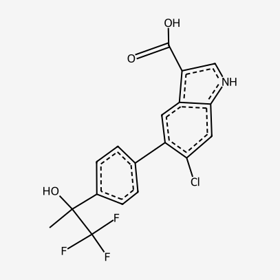 CC(O)(c1ccc(-c2cc3c(C(=O)O)c[nH]c3cc2Cl)cc1)C(F)(F)F